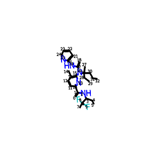 C=C(NC(CC)C(C)(F)F)c1ccc(C)c(N(C(=C)Nc2ccccn2)C(C)(CC)CCC)n1